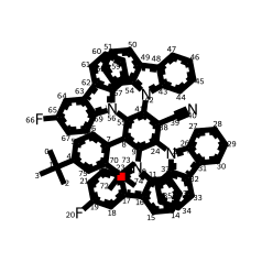 CC(C)(C)c1ccc(-c2c(-n3c4ccccc4c4cc(F)ccc43)c(-n3c4ccccc4c4ccccc43)c(C#N)c(-n3c4ccccc4c4ccccc43)c2-n2c3ccccc3c3cc(F)ccc32)c(C(C)(C)C)c1